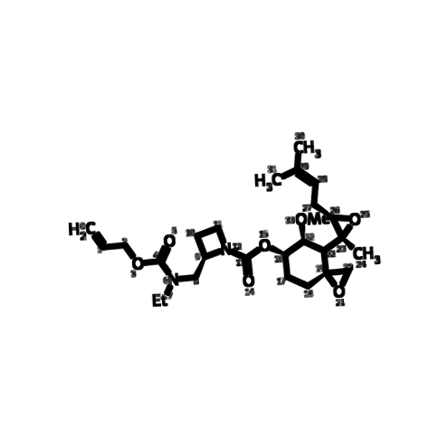 C=CCOC(=O)N(CC)C[C@H]1CCN1C(=O)O[C@@H]1CC[C@]2(CO2)C([C@@]2(C)O[C@@H]2CC=C(C)C)[C@@H]1OC